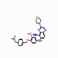 COc1cc(Nc2ccc3ncc(N4CCOCC4)nc3c2C#N)ccc1OCc1ccc(CN(C)C)nc1